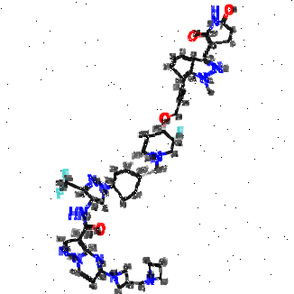 Cn1nc(C2CCC(=O)NC2=O)c2cccc(C#CCO[C@H]3CCN(C[C@H]4CC[C@H](n5cc(NC(=O)c6cnn7ccc(N8CC(CN9CCC9)C8)nc67)c(C(F)F)n5)CC4)C[C@H]3F)c21